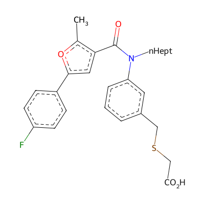 CCCCCCCN(C(=O)c1cc(-c2ccc(F)cc2)oc1C)c1cccc(CSCC(=O)O)c1